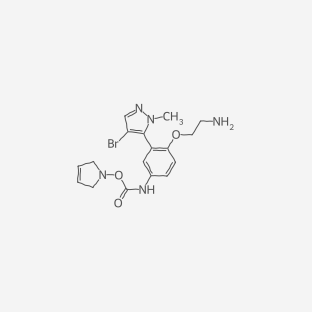 Cn1ncc(Br)c1-c1cc(NC(=O)ON2CC=CC2)ccc1OCCN